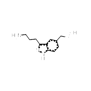 COCc1ccc2[nH]nc(CCCN)c2c1